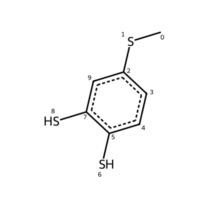 CSc1ccc(S)c(S)c1